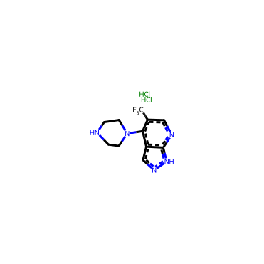 Cl.Cl.FC(F)(F)c1cnc2[nH]ncc2c1N1CCNCC1